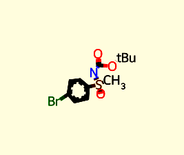 CC(C)(C)OC(=O)N=S(C)(=O)c1ccc(Br)cc1